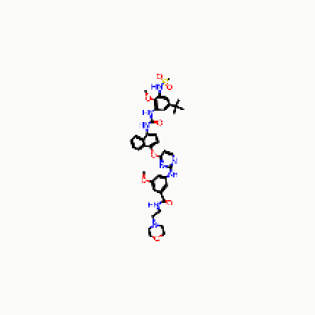 COc1cc(Nc2nccc(Oc3ccc(NC(=O)Nc4cc(C(C)(C)C)cc(NS(C)(=O)=O)c4OC)c4ccccc34)n2)cc(C(=O)NCCN2CCOCC2)c1